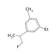 [CH2]C(CF)c1cc(C)cc(CC)c1